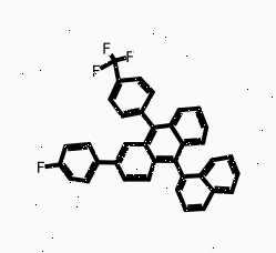 Fc1ccc(-c2ccc3c(-c4cccc5ccccc45)c4ccccc4c(-c4ccc(C(F)(F)F)cc4)c3c2)cc1